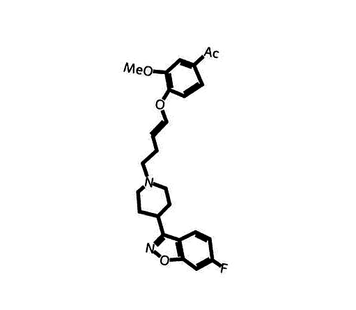 COc1cc(C(C)=O)ccc1O/C=C/CCN1CCC(c2noc3cc(F)ccc23)CC1